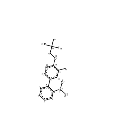 CC[S+]([O-])c1cccnc1-c1cc(C)c(OCC(C)(F)F)nn1